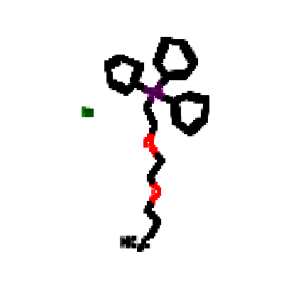 O=C(O)CCOCCOCC[P+](c1ccccc1)(c1ccccc1)c1ccccc1.[Br-]